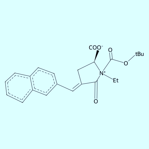 CC[N+]1(C(=O)OC(C)(C)C)C(=O)/C(=C/c2ccc3ccccc3c2)C[C@H]1C(=O)[O-]